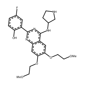 COCCOc1cc2nc(-c3cc(F)ccc3O)nc(NC3CCNC3)c2cc1OCCOC